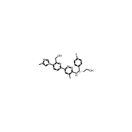 Cc1cn(-c2ccc(-c3cc(C)c(N[C@@H](CCO)c4ccc(F)cc4)nn3)nc2CO)cn1